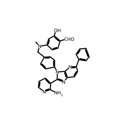 CN(Cc1ccc(-n2c(-c3cccnc3N)nc3ccc(-c4ccccc4)nc32)cc1)c1ccc(C=O)c(O)c1